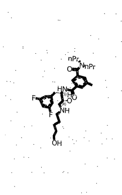 CCCN(CCC)C(=O)c1cc(C)cc(C(=O)N[C@@H](Cc2cc(F)cc(F)c2)[C@H](O)CNCCCCCO)c1